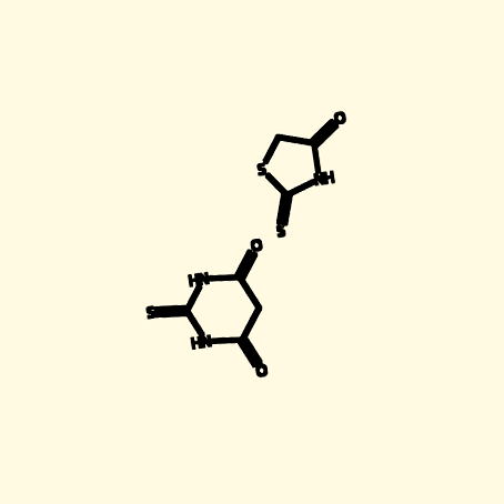 O=C1CC(=O)NC(=S)N1.O=C1CSC(=S)N1